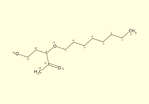 CCCCCCCCOC(CC[O])C(C)=O